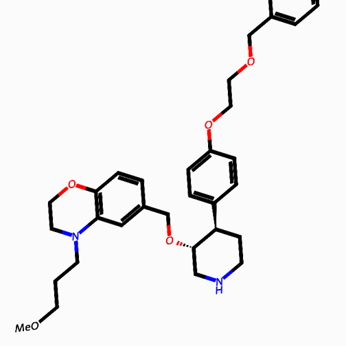 COCCCN1CCOc2ccc(CO[C@H]3CNCC[C@@H]3c3ccc(OCCOCc4ccccc4C)cc3)cc21